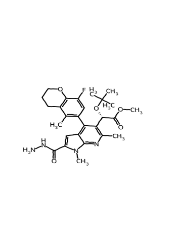 COC(=O)[C@@H](OC(C)(C)C)c1c(C)nc2c(cc(C(=O)NN)n2C)c1-c1cc(F)c2c(c1C)CCCO2